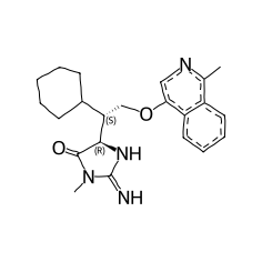 Cc1ncc(OC[C@@H](C2CCCCC2)[C@H]2NC(=N)N(C)C2=O)c2ccccc12